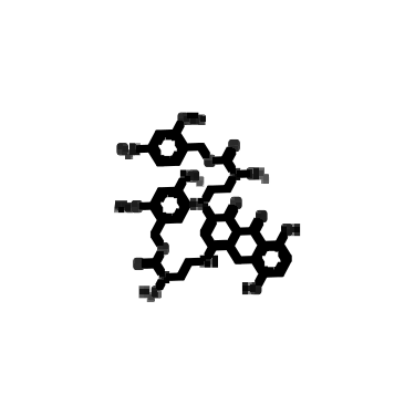 COc1cc([N+](=O)[O-])ccc1COC(=O)N(C)CCNC1=CC(NCCN(C)C(=O)OCc2ccc([N+](=O)[O-])cc2OC)=C2Cc3c(O)ccc(O)c3C(=O)C2C1=O